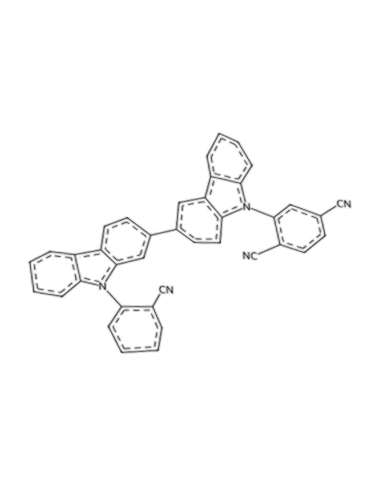 N#Cc1ccc(C#N)c(-n2c3ccccc3c3cc(-c4ccc5c6ccccc6n(-c6ccccc6C#N)c5c4)ccc32)c1